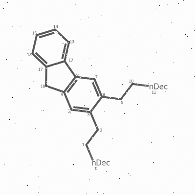 CCCCCCCCCCCCc1[c]c2c(cc1CCCCCCCCCCCC)-c1ccccc1C2